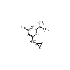 CN(C)C=NC(=C[N+](=O)[O-])NC1CC1